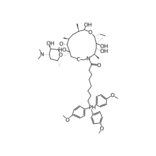 CC[C@H]1OC(O)[C@H](C)C[C@H](C)[C@@H](O[C@@H]2O[C@H](C)C[C@H](N(C)C)[C@H]2O)[C@](C)(O)CCCN(C(=O)CCCCCCC[PH](c2ccc(OC)cc2)(c2ccc(OC)cc2)c2ccc(OC)cc2)[C@H](C)[C@@H](O)[C@]1(C)O